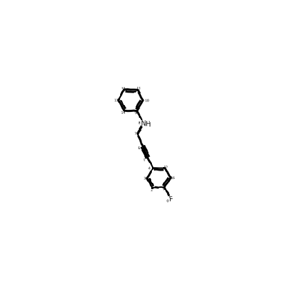 Fc1ccc(C#CCNc2ccccc2)cc1